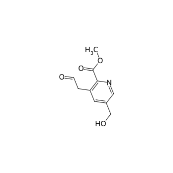 COC(=O)c1ncc(CO)cc1CC=O